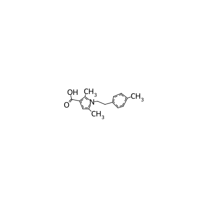 Cc1ccc(CCn2c(C)cc(C(=O)O)c2C)cc1